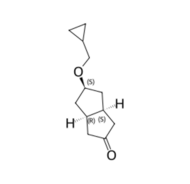 O=C1C[C@@H]2C[C@H](OCC3CC3)C[C@@H]2C1